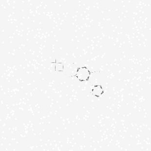 FC1(F)CC(Oc2cc(-n3cccn3)c(Br)cc2Cl)C1